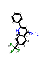 Nc1cc(-c2ccccc2)nc2cc(C(F)(F)F)ccc12